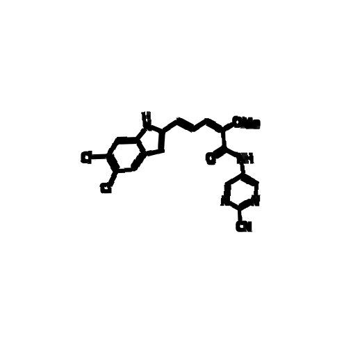 COC(=CC=Cc1cc2cc(Cl)c(Cl)cc2[nH]1)C(=O)Nc1cnc(C#N)nc1